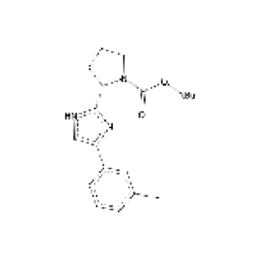 CC(C)(C)OC(=O)N1CCC[C@H]1c1nc(-c2cccc(F)c2)c[nH]1